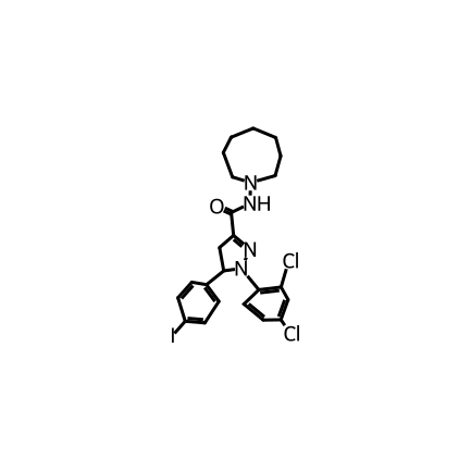 O=C(NN1CCCCCCC1)C1=NN(c2ccc(Cl)cc2Cl)C(c2ccc(I)cc2)C1